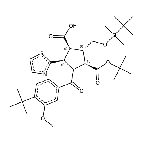 COc1cc(C(=O)C2[C@@H](c3nccs3)[C@@H](C(=O)O)[C@H](CO[Si](C)(C)C(C)(C)C)[C@H]2C(=O)OC(C)(C)C)ccc1C(C)(C)C